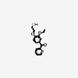 CCOc1cc(C(=O)c2ccccn2)ccc1OCCO